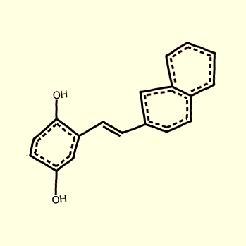 Oc1[c]cc(O)c(C=Cc2ccc3ccccc3c2)c1